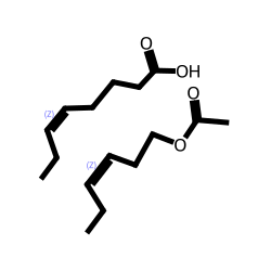 CC/C=C\CCCC(=O)O.CC/C=C\CCOC(C)=O